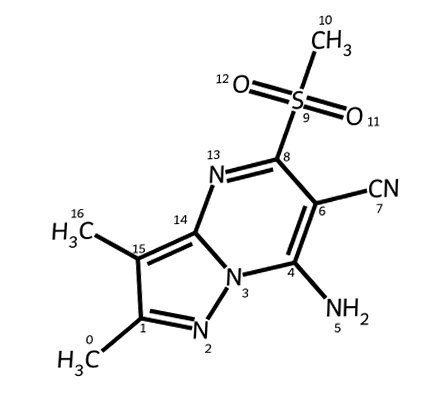 Cc1nn2c(N)c(C#N)c(S(C)(=O)=O)nc2c1C